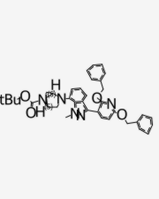 Cn1nc(-c2ccc(OCc3ccccc3)nc2OCc2ccccc2)c2cccc(N3C[C@@H]4C[C@H]3CN4C(=O)OC(C)(C)C)c21